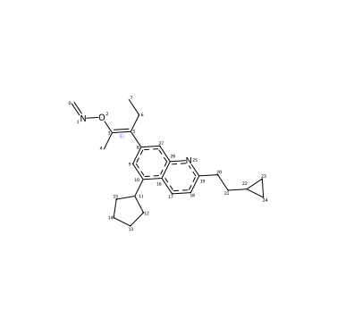 C=NO/C(C)=C(\CC)c1cc(C2CCCC2)c2ccc(CCC3CC3)nc2c1